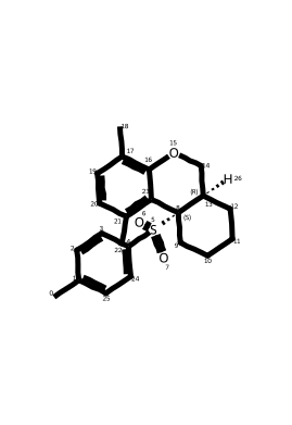 Cc1ccc(S(=O)(=O)[C@@]23CCCC[C@@H]2COc2c(C)ccc(C)c23)cc1